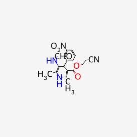 CC1=C(NC=O)C(c2cccc([N+](=O)[O-])c2)C(C(=O)OCCC#N)=C(C)N1